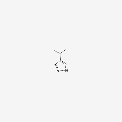 CC(C)c1[c]n[nH]c1